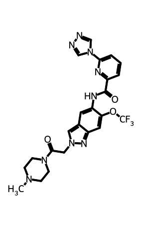 CN1CCN(C(=O)Cn2cc3cc(NC(=O)c4cccc(-n5cnnc5)n4)c(OC(F)(F)F)cc3n2)CC1